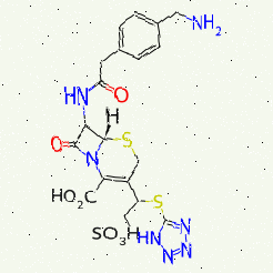 NCc1ccc(CC(=O)NC2C(=O)N3C(C(=O)O)=C(C(CS(=O)(=O)O)Sc4nnn[nH]4)CS[C@@H]23)cc1